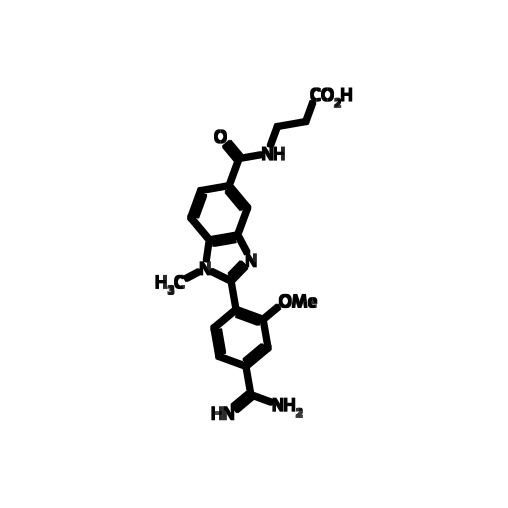 COc1cc(C(=N)N)ccc1-c1nc2cc(C(=O)NCCC(=O)O)ccc2n1C